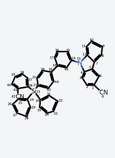 N#Cc1ccc2c(c1)c1ccccc1n2-c1cccc(-c2ccc([Si](c3ccccc3)(c3ccccc3)c3ccccc3C#N)cc2)c1